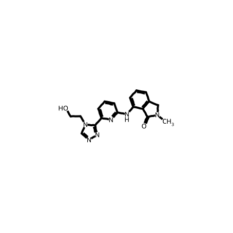 CN1Cc2cccc(Nc3cccc(-c4nncn4CCO)n3)c2C1=O